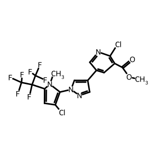 COC(=O)c1cc(-c2cnn(-c3c(Cl)cc(C(F)(C(F)(F)F)C(F)(F)F)n3C)c2)cnc1Cl